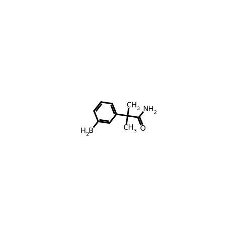 Bc1cccc(C(C)(C)C(N)=O)c1